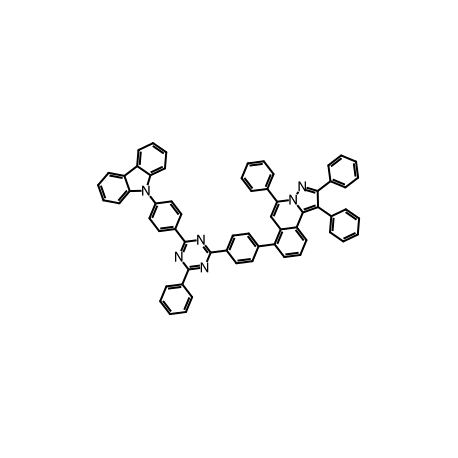 c1ccc(-c2nc(-c3ccc(-c4cccc5c4cc(-c4ccccc4)n4nc(-c6ccccc6)c(-c6ccccc6)c54)cc3)nc(-c3ccc(-n4c5ccccc5c5ccccc54)cc3)n2)cc1